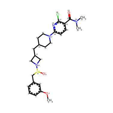 COc1cccc(C[S+]([O-])N2CC(CC3CCN(c4ccc(C(=O)N(C)C)c(Cl)n4)CC3)C2)c1